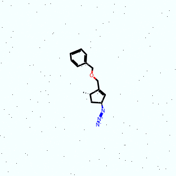 C[C@H]1C[C@H](N=[N+]=[N-])C=C1COCc1ccccc1